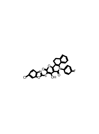 O=c1oc2c3c(n(-c4ccc(F)cc4)c(=O)c2c(O)c1Sc1nc2ccc(Cl)cc2o1)-c1ccccc1CC3